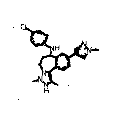 CC1=C2c3ccc(-c4cnn(C)c4)cc3C(Nc3ccc(Cl)cc3)CCN2N(C)N1